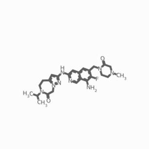 CC(C)N1CCc2cc(Nc3cc4cc(CN5CCN(C)CC5=O)c(F)c(N)c4cn3)nn2CC1=O